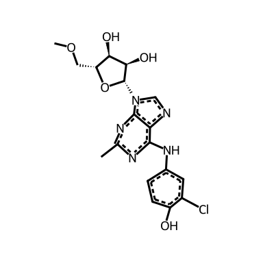 COC[C@H]1O[C@@H](n2cnc3c(Nc4ccc(O)c(Cl)c4)nc(C)nc32)[C@H](O)[C@@H]1O